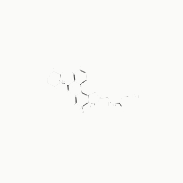 CC(C)(C)OC(=O)NCC1Cc2c(-c3ccccc3C(=O)N3CCOCC3)ccc(Cl)c2O1